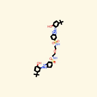 CC(C)(C)c1ccc(O)c(-n2n3c4ccc(S(=O)(=O)NCCOCCNS(=O)(=O)c5ccc6c(c5)n5n(-c7cc(C(C)(C)C)ccc7O)n65)cc4n23)c1